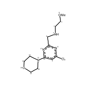 COCCNCc1nc(Cl)cc(N2CCOCC2)n1